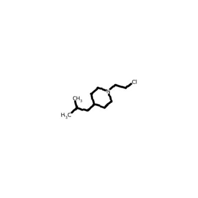 CC(C)CC1CCN(CCCl)CC1